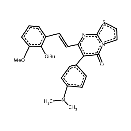 COc1cccc(C=Cc2nc3sccn3c(=O)c2-c2ccc(N(C)C)cc2)c1OCC(C)C